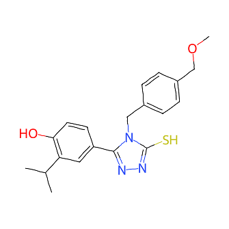 COCc1ccc(Cn2c(S)nnc2-c2ccc(O)c(C(C)C)c2)cc1